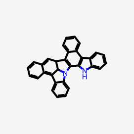 C1=c2ccccc2=C2c3ccccc3N3c4c(c5ccccc5c5c4[nH]c4ccccc45)C1C23